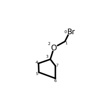 BrCOC1CCCC1